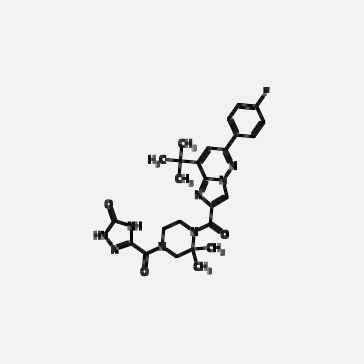 CC(C)(C)c1cc(-c2ccc(F)cc2)nn2cc(C(=O)N3CCN(C(=O)c4n[nH]c(=O)[nH]4)CC3(C)C)nc12